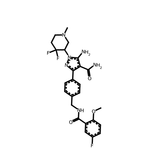 COc1ccc(F)cc1C(=O)NCc1ccc(-c2nn(C3CN(C)CCC3(F)F)c(N)c2C(N)=O)cc1